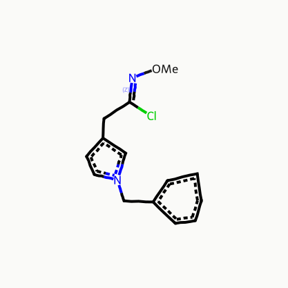 CO/N=C(\Cl)Cc1ccn(Cc2ccccc2)c1